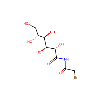 O=C(CBr)NC(=O)[C@@H](O)[C@@H](O)[C@H](O)[C@H](O)CO